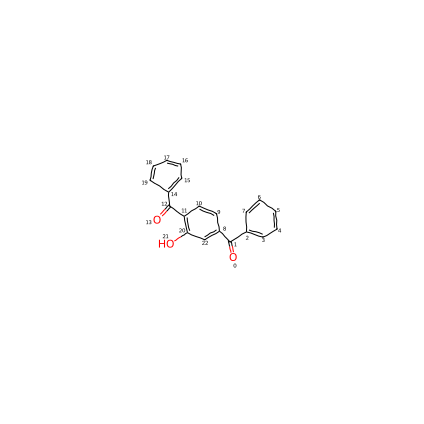 O=C(c1ccccc1)c1ccc(C(=O)c2ccccc2)c(O)c1